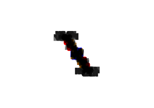 CC1(C)Oc2c(sc3cc(-c4c5c(c(-c6cc7sc8c(c7s6)OC(C)(C)c6cc(/C=C7\C(=O)c9cc(C#N)c(C#N)cc9C7=C(C#N)C#N)sc6-8)c6nsnc46)N=S=N5)sc23)-c2sc(/C=C3\C(=O)c4cc(C#N)c(C#N)cc4C3=C(C#N)C#N)cc21